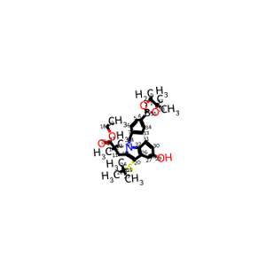 C=C1OB(c2ccc(Cn3c(CC(C)(C)C(=O)OCC)c(SC(C)(C)C)c4cc(O)ccc43)cc2)OC1(C)C